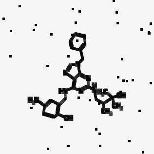 CC(CNc1nc(NCc2cc(N)ccc2O)c2ncn(Cc3ccccc3)c2n1)C(C)(C)O